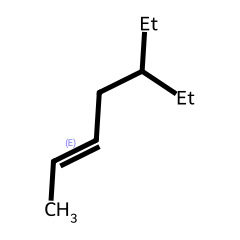 C/C=C/CC(CC)CC